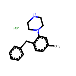 Br.Cc1ccc(Cc2ccccc2)c(N2CCNCC2)c1